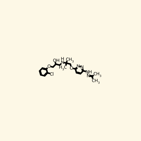 CC(C)=NNc1ccc(OCC(C)(C)NCC(O)COc2ccccc2Cl)nn1